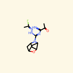 CC(=O)C(=N)/N=C(\N/N=C(\C)F)N1C2CC3CC1C(C2)O3